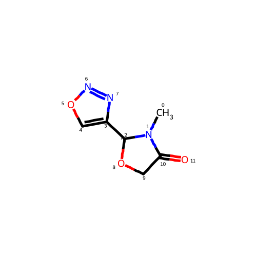 CN1[C](c2conn2)OCC1=O